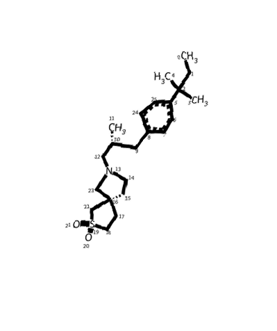 CCC(C)(C)c1ccc(C[C@@H](C)CN2CC[C@@]3(CCS(=O)(=O)C3)C2)cc1